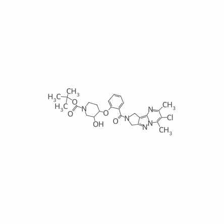 Cc1nc2c3c(nn2c(C)c1Cl)CN(C(=O)c1ccccc1OC1CCN(C(=O)OC(C)(C)C)CC1O)C3